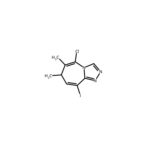 CC1=C(Cl)n2cnnc2C(I)=CC1C